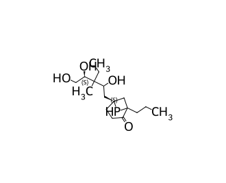 CCCC12C[C@@](CC(O)C(C)(CC)[C@H](O)CO)(CCC1=O)P2